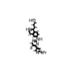 CC(C)n1cc(-c2nc(Nc3ccc4c(c3)CCNC4CCCO)ncc2F)cn1